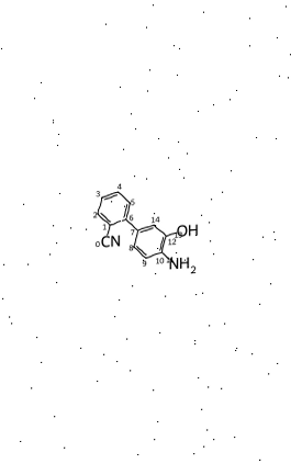 N#Cc1ccccc1-c1ccc(N)c(O)c1